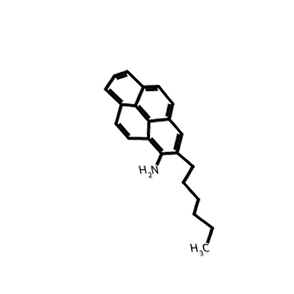 CCCCCCc1cc2ccc3cccc4ccc(c1N)c2c34